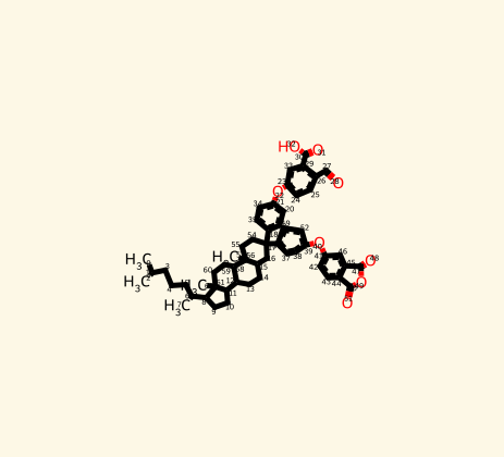 CC(C)CCCC(C)C1CCC2C3CCC4CC(c5ccc(Oc6ccc(C=O)c(C(=O)O)c6)cc5)(c5ccc(Oc6ccc7c(c6)C(=O)OC7=O)cc5)CCC4(C)C3CCC12C